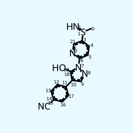 CS(=N)c1ccc(-n2ncc(-c3ccc(C#N)cc3)c2O)nc1